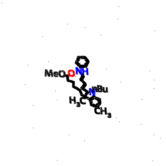 CCCC[N+]1=C(/C=C/C=C/Nc2ccccc2)C(C)(CCCCCC(=O)OC)c2cc(C)ccc21